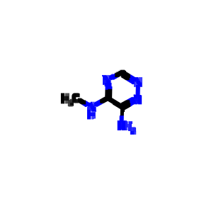 CNc1ncnnc1N